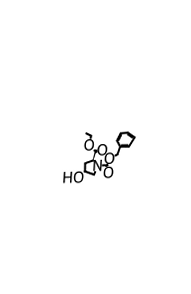 CCOC(=O)[C@@H]1CC(O)CN1C(=O)OCc1ccccc1